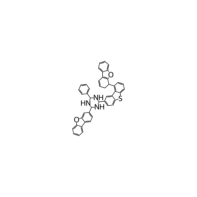 C1=Cc2c(oc3ccccc23)C(c2cccc3sc4ccc(C5NC(c6ccccc6)NC(c6ccc7c(c6)oc6ccccc67)N5)cc4c23)C1